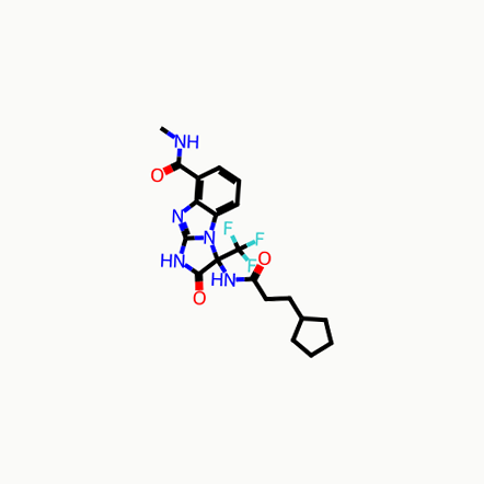 CNC(=O)c1cccc2c1nc1n2C(NC(=O)CCC2CCCC2)(C(F)(F)F)C(=O)N1